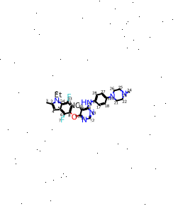 CCn1c(C)cc2c(F)c(Oc3ncnc(Nc4ccc(N5CCN(C)CC5)cc4)c3C#N)cc(F)c21